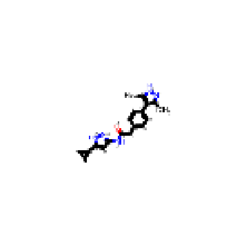 Cc1n[nH]c(C)c1-c1ccc(CC(=O)Nc2cc(C3CC3)[nH]n2)cc1